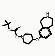 CC(C)(C)OC(=O)ON1CCC(Oc2ccc3c(c2)CCNCC3)CC1